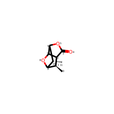 C[C@@H]1C2C(=O)OC3C2OC1[C@H]3C